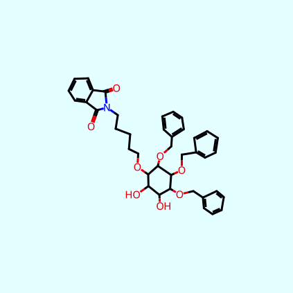 O=C1c2ccccc2C(=O)N1CCCCCOC1C(O)C(O)C(OCc2ccccc2)C(OCc2ccccc2)C1OCc1ccccc1